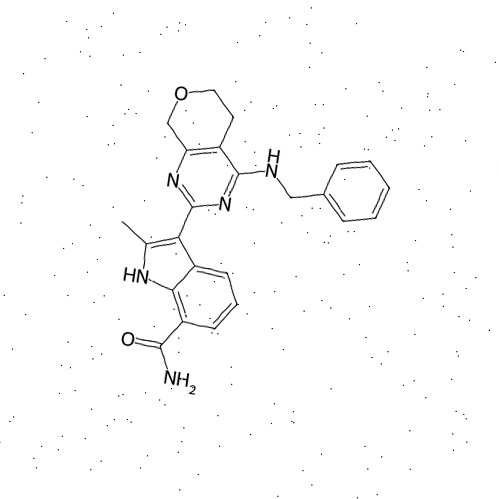 Cc1[nH]c2c(C(N)=O)cccc2c1-c1nc2c(c(NCc3ccccc3)n1)CCOC2